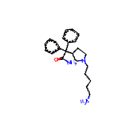 NCCCCCN1CCC(C(C(N)=O)(c2ccccc2)c2ccccc2)C1